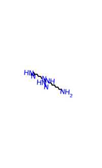 N#CN/C(=N\CCCCc1c[nH]cn1)NCCCCCCCCN